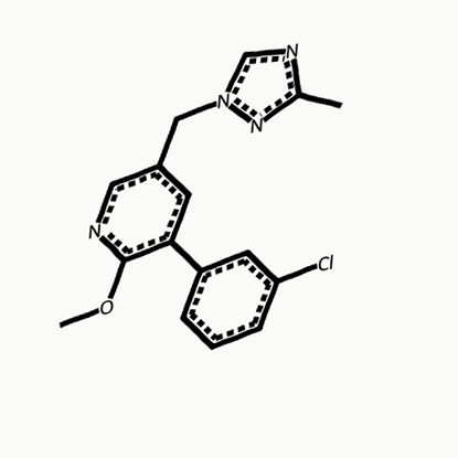 COc1ncc(Cn2cnc(C)n2)cc1-c1cccc(Cl)c1